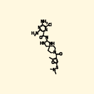 Cc1oc(SN(C)C)cc1C(=O)N1CCC2(CC1)CN/C(=N\C(=O)c1nc(Cl)c(N)nc1N)N2